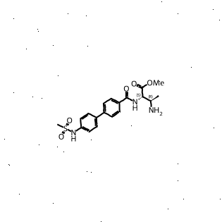 COC(=O)[C@@H](NC(=O)c1ccc(-c2ccc(NS(C)(=O)=O)cc2)cc1)[C@@H](C)N